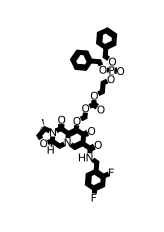 C[C@H]1CO[C@@H]2Cn3cc(C(=O)NCc4ccc(F)cc4F)c(=O)c(OCOC(=O)OCCOP(=O)(OCc4ccccc4)OCc4ccccc4)c3C(=O)N12